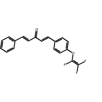 O=C(/C=C/c1ccccc1)/C=C/c1ccc(OC(F)=C(F)F)cc1